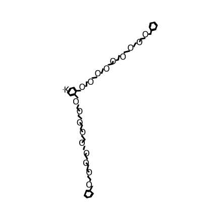 [K].c1ccc(COCCOCCOCCOCCOCCOCCOCCOCCOCc2ccccc2COCCOCCOCCOCCOCCOCCOCCOCCOCc2ccccc2)cc1